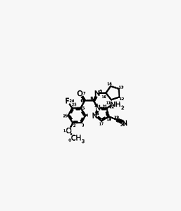 COc1ccc(C(=O)/C(=N/C2CCCC2)n2ncc(C#N)c2N)c(F)c1